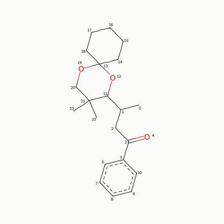 CC(CC(=O)c1ccccc1)C1OC2(CCCCC2)OCC1(C)C